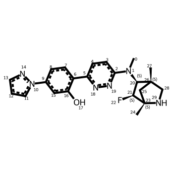 CN(c1ccc(-c2ccc(-n3cccn3)cc2O)nn1)[C@@H]1[C@H](F)[C@]2(C)C[C@@]1(C)CN2